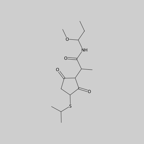 CCC(NC(=O)C(C)C1C(=O)CC(SC(C)C)C1=O)OC